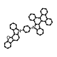 c1ccc2c(c1)oc1c2ccc2c1c1ccccc1n2-c1ccc(-n2c3ccccc3c3c4c5ccccc5c5ccccc5c4c4ccccc4c32)cc1